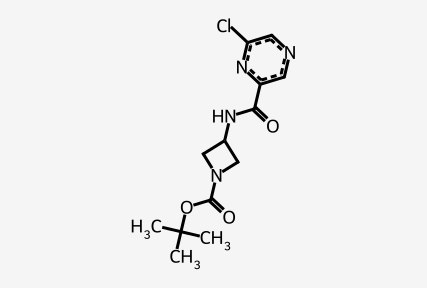 CC(C)(C)OC(=O)N1CC(NC(=O)c2cncc(Cl)n2)C1